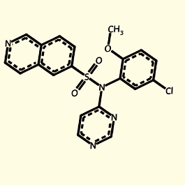 COc1ccc(Cl)cc1N(c1ccncn1)S(=O)(=O)c1ccc2cnccc2c1